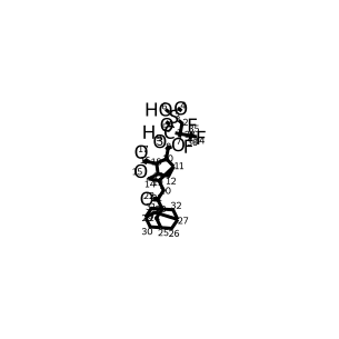 CC(CS(=O)(=O)O)(OC(=O)C1C2CC3C(OC(=O)C31)C2CC(=O)C12CC3CC(CC(C3)C1)C2)C(F)(F)F